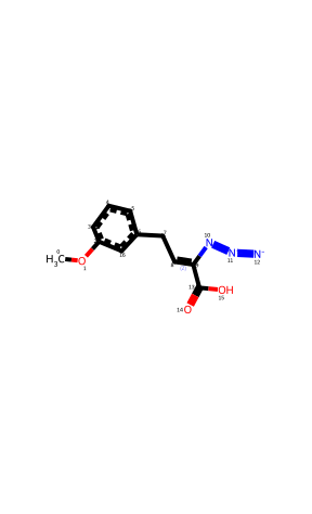 COc1cccc(C/C=C(\N=[N+]=[N-])C(=O)O)c1